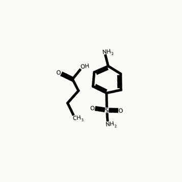 CCCC(=O)O.Nc1ccc(S(N)(=O)=O)cc1